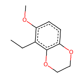 CCc1c(OC)ccc2c1OCCO2